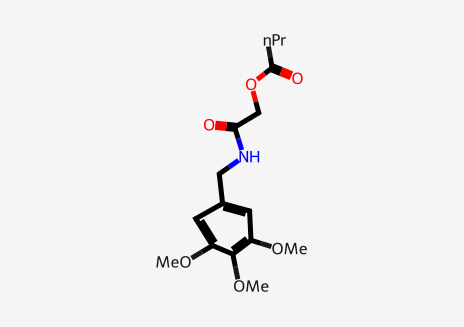 CCCC(=O)OCC(=O)NCc1cc(OC)c(OC)c(OC)c1